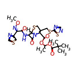 CO/N=C(\C(=O)NC1C(=O)N2C(C(=O)OC(C)OC(=O)C(C)(C)C)=C(CSc3ncns3)CS[C@@H]12)c1cscn1